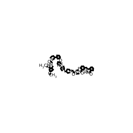 CCOc1cc(OC)ccc1CNCC(=O)N1CCCC(c2cccc(Oc3ccnc(N4CCN(CC5CCN(CC(=O)N6CCN(C(=O)c7cc(Cc8n[nH]c(=O)c9ccccc89)ccc7F)CC6)CC5)CC4)n3)c2)C1